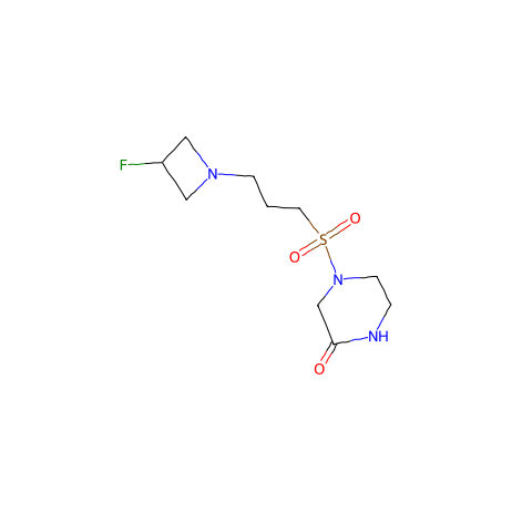 O=C1CN(S(=O)(=O)CCCN2CC(F)C2)CCN1